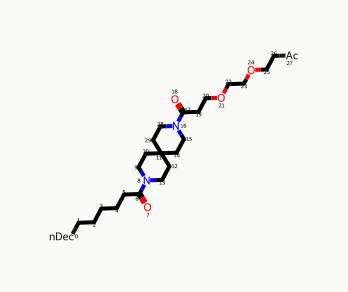 CCCCCCCCCCCCCCCC(=O)N1CCC2(CC1)CCN(C(=O)CCOCCOCCC(C)=O)CC2